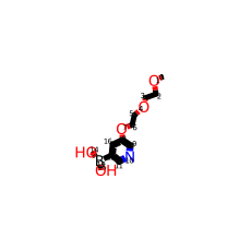 COCCOCCOc1cncc(B(O)O)c1